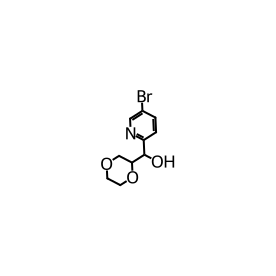 OC(c1ccc(Br)cn1)C1COCCO1